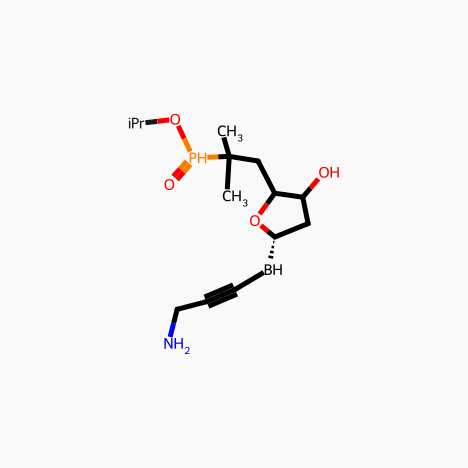 CC(C)O[PH](=O)C(C)(C)CC1O[C@@H](BC#CCN)CC1O